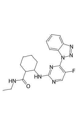 CCNC(=O)C1CCCCC1Nc1ncc(F)c(-n2nnc3ccccc32)n1